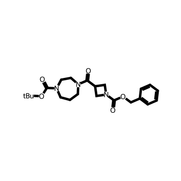 CC(C)(C)OC(=O)N1CCCN(C(=O)C2CN(C(=O)OCc3ccccc3)C2)CC1